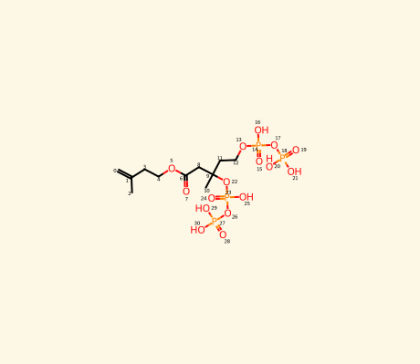 C=C(C)CCOC(=O)CC(C)(CCOP(=O)(O)OP(=O)(O)O)OP(=O)(O)OP(=O)(O)O